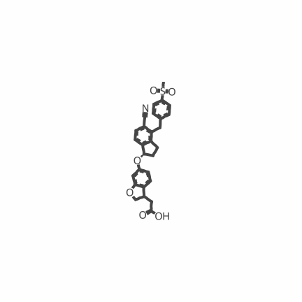 CS(=O)(=O)c1ccc(Cc2c(C#N)ccc3c2CC[C@H]3Oc2ccc3c(c2)OCC3CC(=O)O)cc1